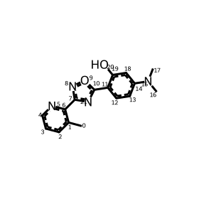 Cc1cccnc1-c1noc(-c2ccc(N(C)C)cc2O)n1